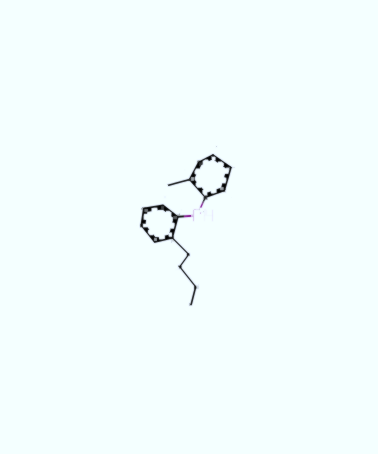 CCCCc1ccccc1Pc1ccccc1C